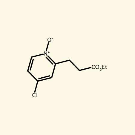 CCOC(=O)CCc1cc(Cl)cc[n+]1[O-]